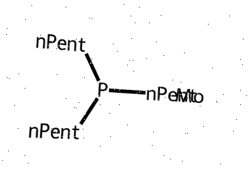 CCCCCP(CCCCC)CCCCC.[Mo]